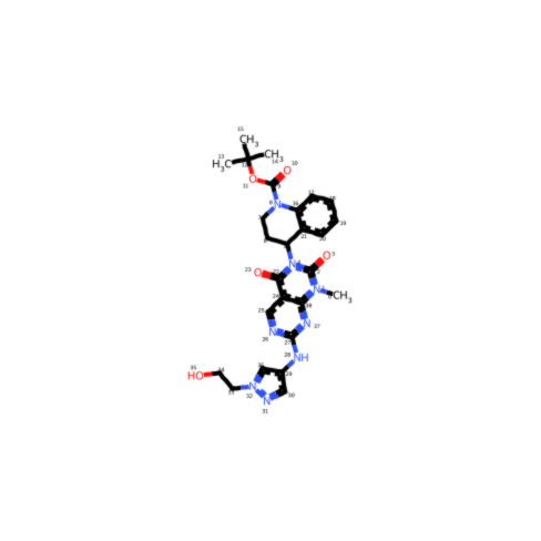 Cn1c(=O)n(C2CCN(C(=O)OC(C)(C)C)c3ccccc32)c(=O)c2cnc(Nc3cnn(CCO)c3)nc21